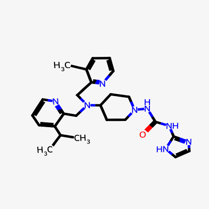 Cc1cccnc1CN(Cc1ncccc1C(C)C)C1CCN(NC(=O)Nc2ncc[nH]2)CC1